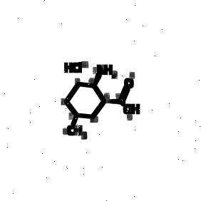 CC1CC[C@@H](N)[C@@H](C(=O)O)C1.Cl